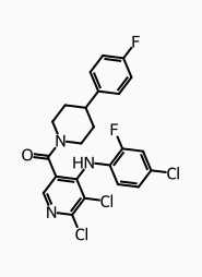 O=C(c1cnc(Cl)c(Cl)c1Nc1ccc(Cl)cc1F)N1CCC(c2ccc(F)cc2)CC1